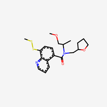 COCC(C)N(CC1CCCO1)C(=O)c1ccc(SSC)c2ncccc12